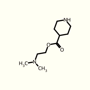 CN(C)CCOC(=O)C1CCNCC1